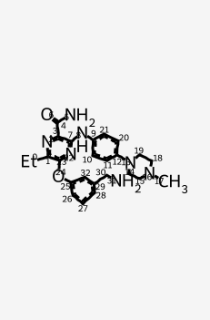 CCc1nc(C(N)=O)c(Nc2ccc(N3CCN(C)CC3)cc2)nc1Oc1cccc(CN)c1